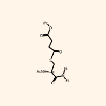 CCN(CC)C(=O)[C@H](CSC(=O)CCC(=O)OC(C)C)NC(C)=O